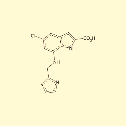 O=C(O)c1cc2cc(Cl)cc(NCc3nccs3)c2[nH]1